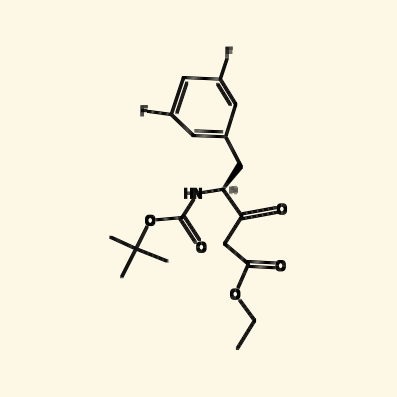 CCOC(=O)CC(=O)[C@H](Cc1cc(F)cc(F)c1)NC(=O)OC(C)(C)C